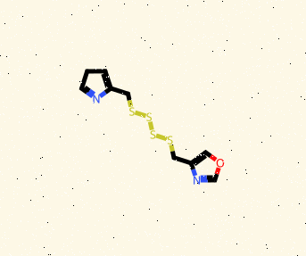 C1=NC(CSSSSCc2cocn2)=CC1